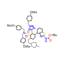 COc1ccc(CN(Cc2ccc(OC)cc2)S(=O)(=O)c2c(CCC3CCC(C)CC3)ccc(-c3cccc4sc(NC(=O)OC(C)(C)C)nc34)c2-c2nnn(Cc3ccc(OC)cc3)n2)cc1